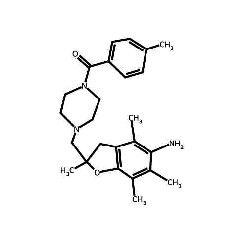 Cc1ccc(C(=O)N2CCN(CC3(C)Cc4c(C)c(N)c(C)c(C)c4O3)CC2)cc1